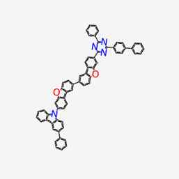 c1ccc(-c2ccc(-c3nc(-c4ccccc4)nc(-c4ccc5c(c4)oc4ccc(-c6ccc7oc8cc(-n9c%10ccccc%10c%10cc(-c%11ccccc%11)ccc%109)ccc8c7c6)cc45)n3)cc2)cc1